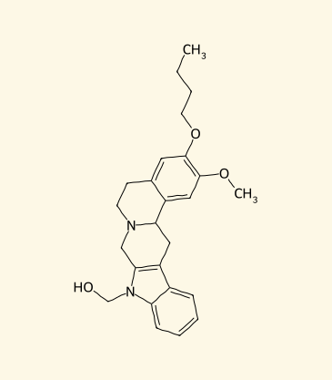 CCCCOc1cc2c(cc1OC)C1Cc3c(n(CO)c4ccccc34)CN1CC2